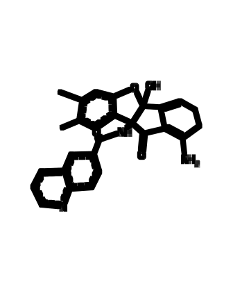 Cc1cc2c(cc1C)C1(NC(=O)c3ccc4ncccc4c3)C(=O)C3=C(N)CCC=C3C1(O)O2